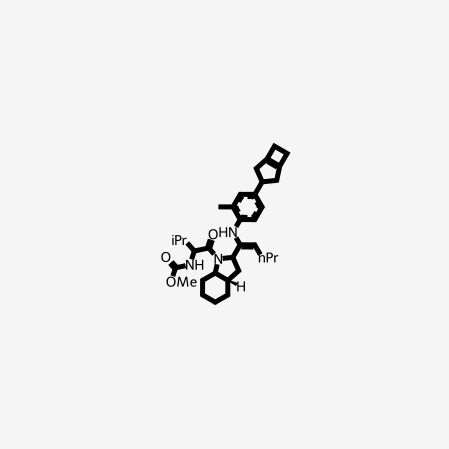 CCC/C=C(/Nc1ccc(C2CC3=C(CC3)C2)cc1C)C1C[C@@H]2CCCCC2N1C(=O)C(NC(=O)OC)C(C)C